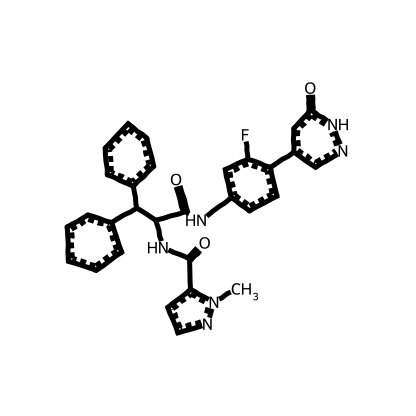 Cn1nccc1C(=O)NC(C(=O)Nc1ccc(-c2cn[nH]c(=O)c2)c(F)c1)C(c1ccccc1)c1ccccc1